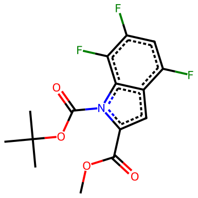 COC(=O)c1cc2c(F)cc(F)c(F)c2n1C(=O)OC(C)(C)C